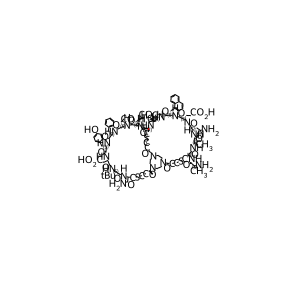 C[C@H](N)C(=O)N[C@H]1CSCCC(=O)N2CCN3CCN(CC2)C(=O)CCSC[C@H](NC(=O)[C@@H](C)NC(=O)[C@H](Cc2cccc4ccccc24)NC(=O)[C@H](CCC(=O)O)NC(=O)[C@H](CC(N)=O)NC(=O)[C@@H](C)NC1=O)C(=O)N[C@@H](CCC(=O)O)C(=O)N[C@@H](CC(=O)O)C(=O)N[C@@H](Cc1ccccc1)C(=O)N[C@@H](Cc1ccc(O)cc1)C(=O)NC(CC(=O)O)C(=O)N[C@@H](C(C)(C)C)C(=O)NC(C(N)=O)CSCCC3=O